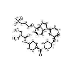 CC(C)C[C@H](N)C(=O)OC1CCN(C(=O)[C@H]2CC[C@H](Nc3nccc(-n4ccc5c(OCCCS(C)(=O)=O)cccc54)n3)CC2)CC1